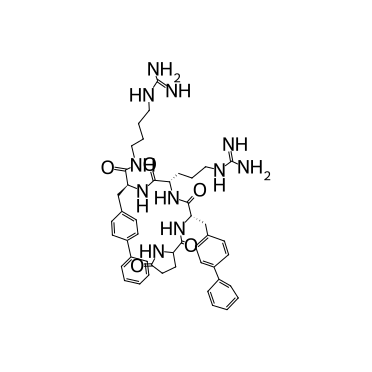 N=C(N)NCCCCNC(=O)[C@H](Cc1ccc(-c2ccccc2)cc1)NC(=O)[C@H](CCCNC(=N)N)NC(=O)[C@H](Cc1ccc(-c2ccccc2)cc1)NC(=O)C1CCC(=O)N1